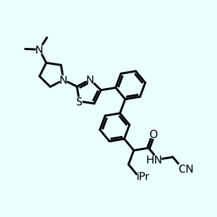 CC(C)CC(C(=O)NCC#N)c1cccc(-c2ccccc2-c2csc(N3CCC(N(C)C)C3)n2)c1